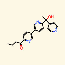 CCCC(=O)c1ccc(-c2ccc(C(C)(O)c3ccncc3)nc2)cn1